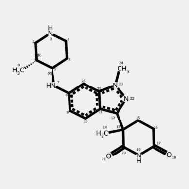 C[C@@H]1CNCC[C@H]1Nc1ccc2c(C3(C)CCC(=O)NC3=O)nn(C)c2c1